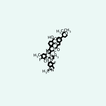 Cc1cc(-n2nc3c(c2-n2ccn(-c4ccc5c(cnn5C)c4F)c2=O)[C@H](C)N(C(=O)c2cc4cc(C5CCOC(C)(C)C5)ccc4n2-c2ccccc2C(O)O)CC3)cc(C)c1F